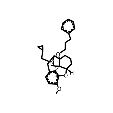 COc1ccc2c3c1O[C@H]1CCC[C@@]4(OCCCc5ccccc5)C(C2)N(CC2CC2)C[C@@H](C)[C@]314